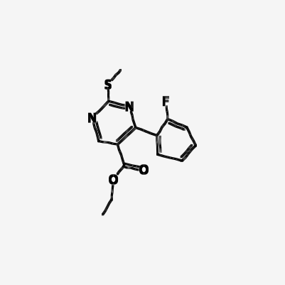 CCOC(=O)c1cnc(SC)nc1-c1ccccc1F